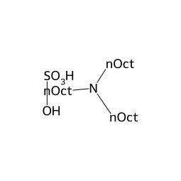 CCCCCCCCN(CCCCCCCC)CCCCCCCC.O=S(=O)(O)O